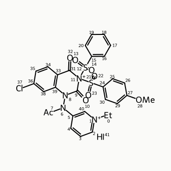 CC[n+]1cccc(N(C(C)=O)N2C(=O)[N+](S(=O)(=O)c3ccccc3)(S(=O)(=O)c3ccc(OC)cc3)C(=O)c3ccc(Cl)cc32)c1.I